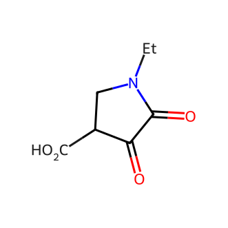 CCN1CC(C(=O)O)C(=O)C1=O